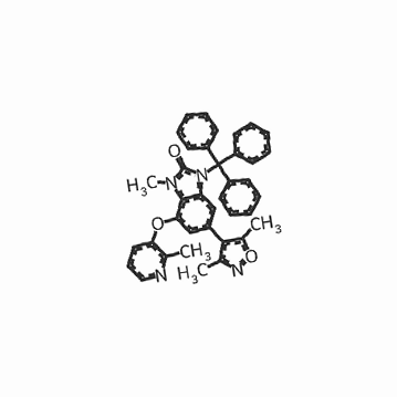 Cc1ncccc1Oc1cc(-c2c(C)noc2C)cc2c1n(C)c(=O)n2C(c1ccccc1)(c1ccccc1)c1ccccc1